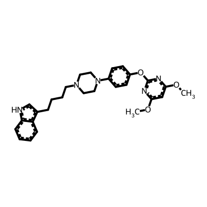 COc1cc(OC)nc(Oc2ccc(N3CCN(CCCCc4c[nH]c5ccccc45)CC3)cc2)n1